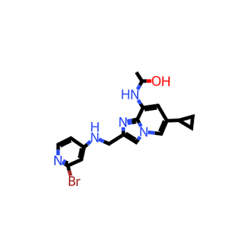 CC(O)Nc1cc(C2CC2)cn2cc(CNc3ccnc(Br)c3)nc12